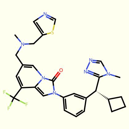 CN(Cc1cc(C(F)(F)F)c2cn(-c3cccc([C@H](c4nncn4C)C4CCC4)c3)c(=O)n2c1)Cc1cncs1